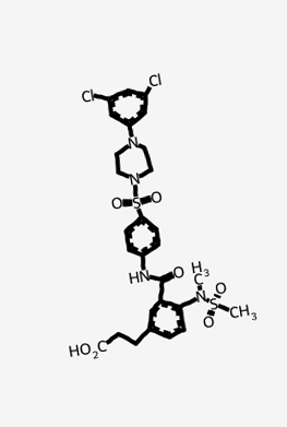 CN(c1ccc(CCC(=O)O)cc1C(=O)Nc1ccc(S(=O)(=O)N2CCN(c3cc(Cl)cc(Cl)c3)CC2)cc1)S(C)(=O)=O